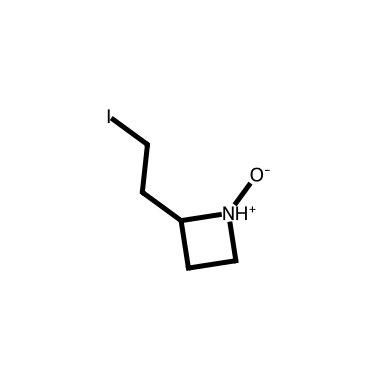 [O-][NH+]1CCC1CCI